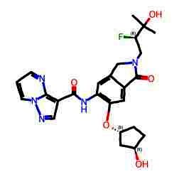 CC(C)(O)[C@H](F)CN1Cc2cc(NC(=O)c3cnn4cccnc34)c(O[C@@H]3CC[C@@H](O)C3)cc2C1=O